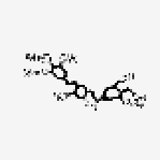 COC1CC(/C=C/C2CC(/C=C/C3CC(OC)C(OC)C(OC)C3)C(O)CC2O)CC(CO)C1CO